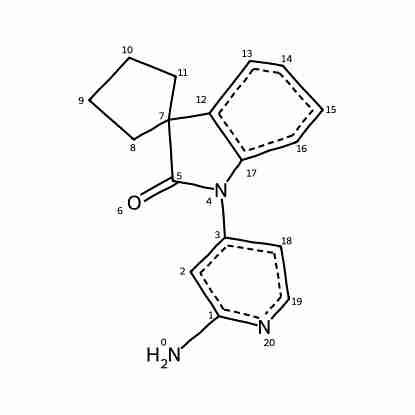 Nc1cc(N2C(=O)C3(CCCC3)c3ccccc32)ccn1